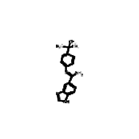 CC(C)(C)c1ccc(N=C(N)c2ccc3[nH]cnc3c2)cc1